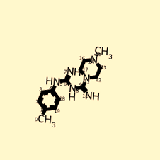 Cc1ccc(NC(=N)NC(=N)N2CCN(C)CC2)cc1